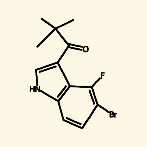 CC(C)(C)C(=O)c1c[nH]c2ccc(Br)c(F)c12